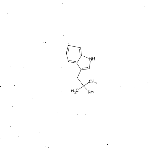 CC(C)([NH])Cc1c[nH]c2ccccc12